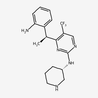 C[C@@H](c1ccccc1N)c1nc(N[C@H]2CCCNC2)ncc1C(F)(F)F